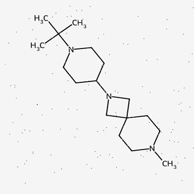 CN1CCC2(CC1)CN(C1CCN(C(C)(C)C)CC1)C2